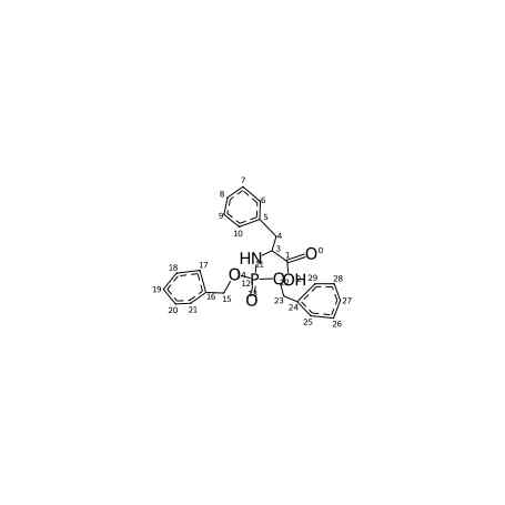 O=C(O)C(Cc1ccccc1)NP(=O)(OCc1ccccc1)OCc1ccccc1